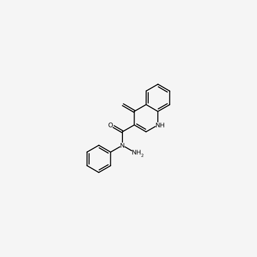 C=C1C(C(=O)N(N)c2ccccc2)=CNc2ccccc21